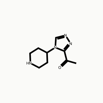 CC(=O)c1nncn1C1CCNCC1